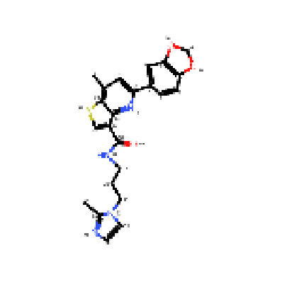 Cc1cc(-c2ccc3c(c2)OCO3)nc2c(C(=O)NCCCn3ccnc3C)csc12